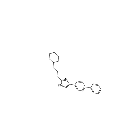 c1ccc(-c2ccc(-c3c[nH]c(CCCC4CCCCC4)n3)cc2)cc1